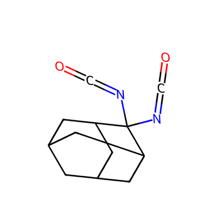 O=C=NC1(N=C=O)C2CC3CC(C2)CC1C3